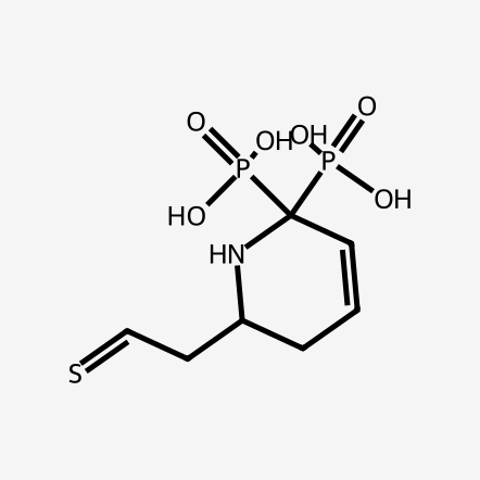 O=P(O)(O)C1(P(=O)(O)O)C=CCC(CC=S)N1